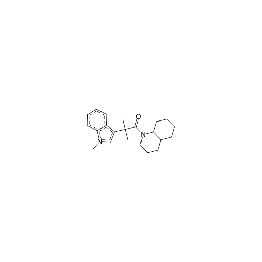 Cn1cc(C(C)(C)C(=O)N2CCCC3CCCCC32)c2ccccc21